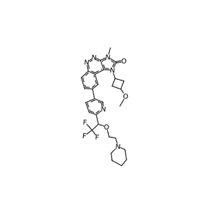 COC1CC(n2c(=O)n(C)c3nnc4ccc(-c5ccc(C(OCCN6CCCCC6)C(F)(F)F)nc5)cc4c32)C1